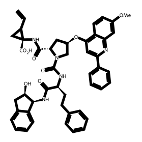 C=CC1C[C@]1(NC(=O)[C@@H]1C[C@@H](Oc2cc(-c3ccccc3)nc3cc(OC)ccc23)CN1C(=O)N[C@@H](CCc1ccccc1)C(=O)N[C@H]1c2ccccc2C[C@H]1O)C(=O)O